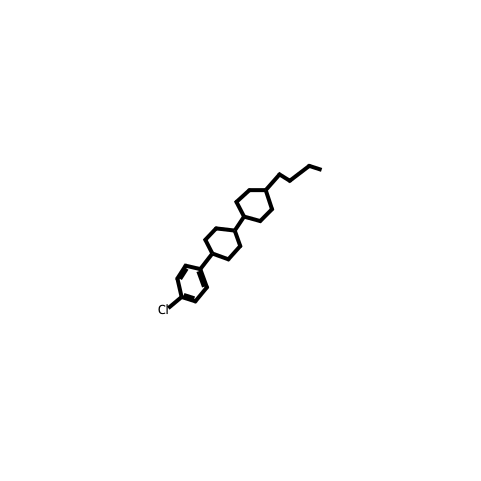 CCCCC1CCC(C2CCC(c3ccc(Cl)cc3)CC2)CC1